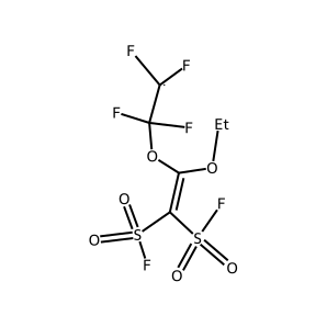 CCOC(OC(F)(F)[C](F)F)=C(S(=O)(=O)F)S(=O)(=O)F